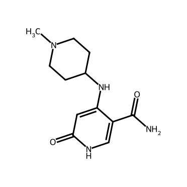 CN1CCC(Nc2cc(=O)[nH]cc2C(N)=O)CC1